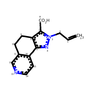 C=CCn1nc2c(c1C(=O)O)CCc1cnccc1-2